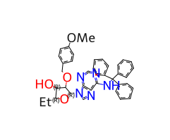 CC[C@H]1O[C@@H](n2cnc3c(NC(c4ccccc4)(c4ccccc4)c4ccccc4)ncnc32)C(OCc2ccc(OC)cc2)[C@@H]1O